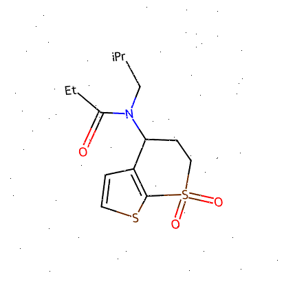 CCC(=O)N(CC(C)C)C1CCS(=O)(=O)c2sccc21